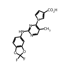 Cc1cnc(Nc2ccc3c(c2)OC(F)(F)O3)nc1-n1ccc(C(=O)O)c1